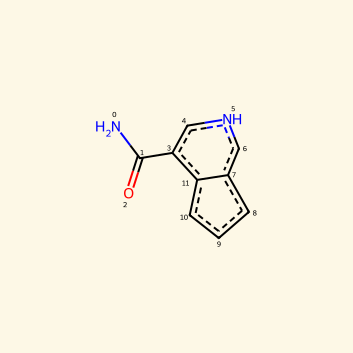 NC(=O)c1c[nH]cc2cccc1-2